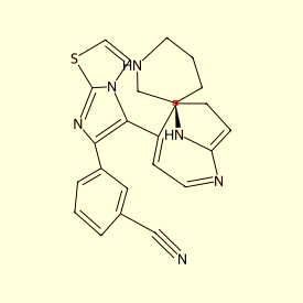 N#Cc1cccc(-c2nc3sccn3c2/C2=C/C=N\C(N[C@@H]3CCCNC3)=C\CC2)c1